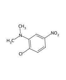 CN(C)c1cc([N+](=O)[O-])ccc1Cl